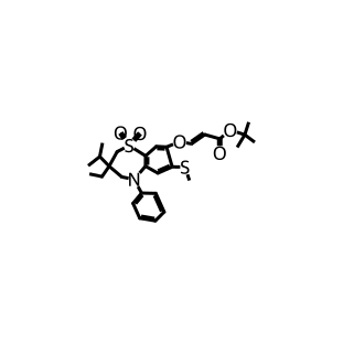 CCC1(C(C)C)CN(c2ccccc2)c2cc(SC)c(O/C=C/C(=O)OC(C)(C)C)cc2S(=O)(=O)C1